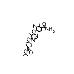 Cc1c(Oc2ccc(C(N)=O)c(C)c2F)ncnc1OC1CCN(C(=O)OC(C)C)CC1